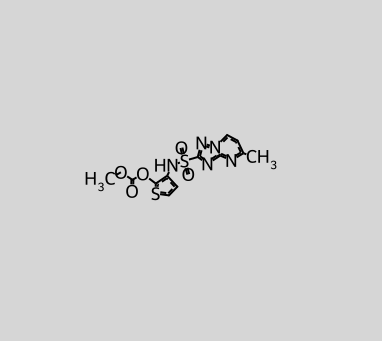 COC(=O)Oc1sccc1NS(=O)(=O)c1nc2nc(C)ccn2n1